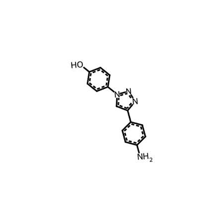 Nc1ccc(-c2cn(-c3ccc(O)cc3)nn2)cc1